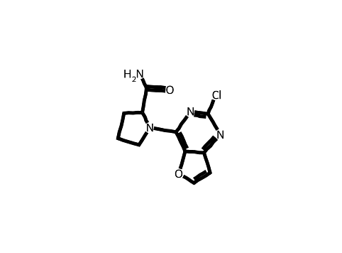 NC(=O)C1CCCN1c1nc(Cl)nc2ccoc12